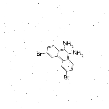 Nc1c(N)c2ccc(Br)cc2c2cc(Br)ccc12